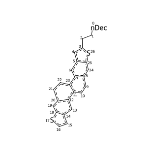 CCCCCCCCCCCCc1cc2cc3c(ccc4c5cc6ccsc6cc5ccc34)cc2s1